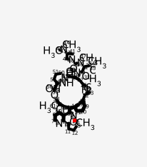 CCn1c(-c2cccnc2[C@@H]2CCCO2)c2c3cc(ccc31)-c1csc(n1)C[C@H](NC(=O)C(C(C)C)N(C)C(=O)N1CC(N(C)C)C1)C(=O)N1CCC[C@H](N1)C(=O)OCC(C)(C)C2